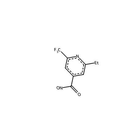 CCc1cc(C(=O)N=O)cc(C(F)(F)F)n1